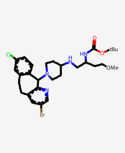 COCCC(CNC1CCN(C2c3ccc(Cl)cc3CCc3cc(Br)cnc32)CC1)NC(=O)OC(C)(C)C